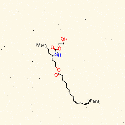 CCCCC/C=C\C/C=C\CCCCCCCC(=O)OCCCC(CCOC)NC(=O)OCCO